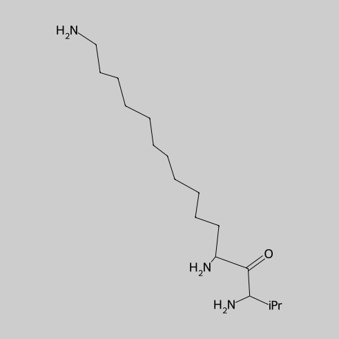 CC(C)C(N)C(=O)C(N)CCCCCCCCCCCN